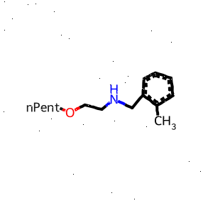 CCCCCOCCNCc1ccccc1C